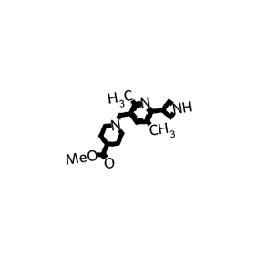 COC(=O)C1CCN(Cc2cc(C)c(C3CNC3)nc2C)CC1